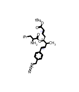 CC(C)CC(N)C(=O)O[C@@H](C/C=C/C(=O)OC(C)(C)C)C(C)/C=C/c1ccc(CN=[N+]=[N-])cc1